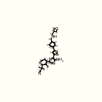 CC(C)(C#N)c1nccc(-c2cnc(N)c(-c3cc(-c4ccc(CNCC5COC5)cc4)no3)n2)c1F